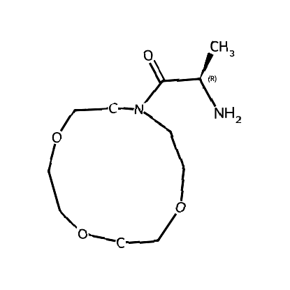 C[C@@H](N)C(=O)N1CCOCCOCCOCC1